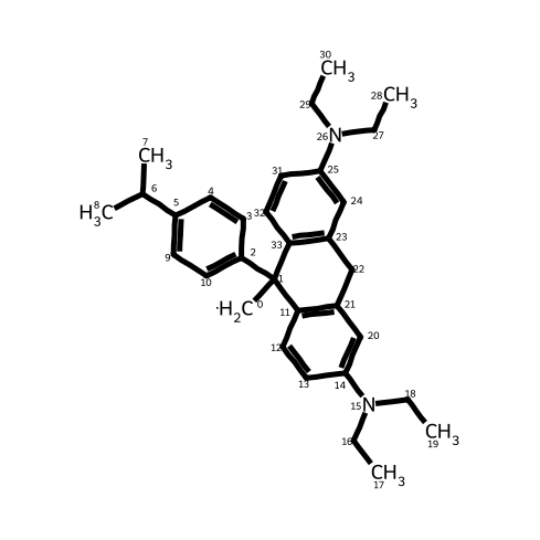 [CH2]C1(c2ccc(C(C)C)cc2)c2ccc(N(CC)CC)cc2Cc2cc(N(CC)CC)ccc21